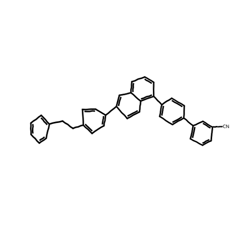 N#Cc1cccc(-c2ccc(-c3cccc4cc(-c5ccc(CCc6ccccc6)cc5)ccc34)cc2)c1